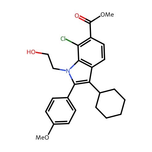 COC(=O)c1ccc2c(C3CCCCC3)c(-c3ccc(OC)cc3)n(CCO)c2c1Cl